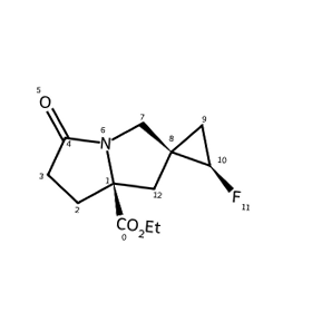 CCOC(=O)[C@@]12CCC(=O)N1C[C@]1(C[C@H]1F)C2